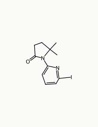 CC1(C)CCC(=O)N1c1cccc(I)n1